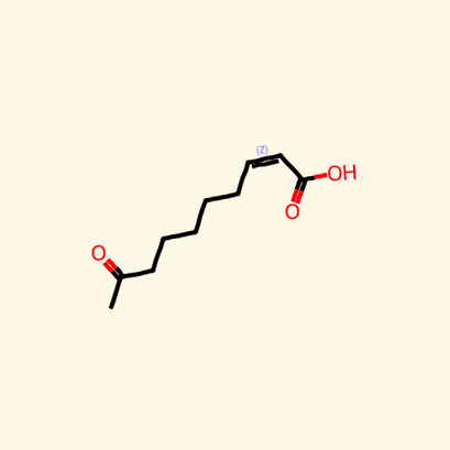 CC(=O)CCCCC/C=C\C(=O)O